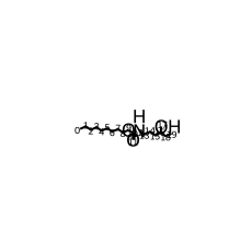 CCCCCCCCCOC(=O)NCCCC(O)CC